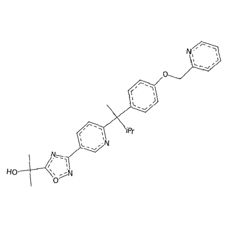 CC(C)C(C)(c1ccc(OCc2ccccn2)cc1)c1ccc(-c2noc(C(C)(C)O)n2)cn1